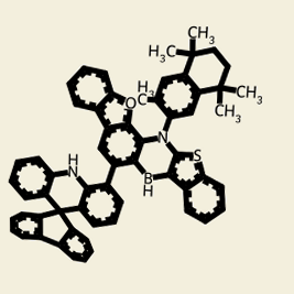 Cc1cc2c(cc1N1c3sc4ccccc4c3Bc3c(-c4cccc5c4Nc4ccccc4C54c5ccccc5-c5ccccc54)cc4c(oc5ccccc54)c31)C(C)(C)CCC2(C)C